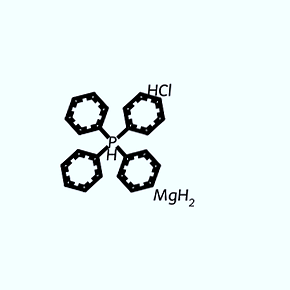 Cl.[MgH2].c1ccc([PH](c2ccccc2)(c2ccccc2)c2ccccc2)cc1